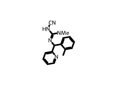 CNC(=NC(c1ccccn1)c1ccccc1C)NC#N